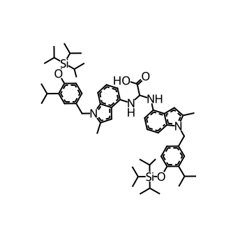 Cc1cc2c(NC(Nc3cccc4c3cc(C)n4Cc3ccc(O[Si](C(C)C)(C(C)C)C(C)C)c(C(C)C)c3)C(=O)O)cccc2n1Cc1ccc(O[Si](C(C)C)(C(C)C)C(C)C)c(C(C)C)c1